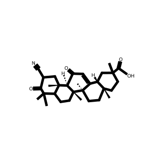 CC1(C(=O)O)CC[C@]2(C)CC[C@]3(C)C(=CC(=O)[C@@H]4[C@@]5(C)CC(C#N)C(=O)C(C)(C)C5CC[C@]43C)[C@@H]2C1